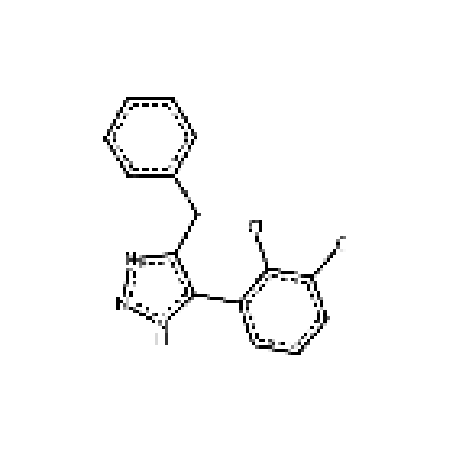 Clc1cccc(-c2[nH]nnc2Cc2ccccc2)c1Cl